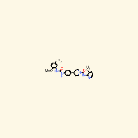 COc1ccc(C)cc1NC(=O)Nc1ccc(C2CCN(C(=O)Nc3ncccc3C)CC2)cc1